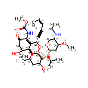 C/C=C\C#C[C@H](O[C@@H]1O[C@H](C)C[C@H](O)[C@H]1O[C@H]1C[C@H](OC)[C@@H](NCC)CO1)C1=C(NC(=O)OC)C(=O)C[C@](C)(O)/C1=C/CSSC(C)C